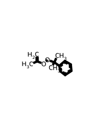 C=C(C)OOC(C)(C)c1ccccc1